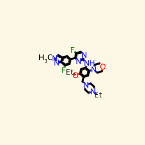 CCOc1cc(Nc2ncc(F)c(-c3cc(F)c4nn(C)cc4c3)n2)c(N2CCOCC2)cc1CN1CCN(CC)CC1